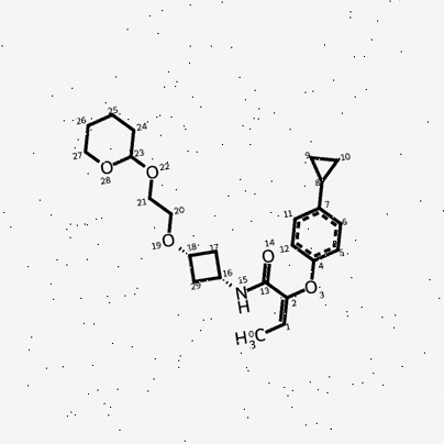 CC=C(Oc1ccc(C2CC2)cc1)C(=O)N[C@H]1C[C@@H](OCCOC2CCCCO2)C1